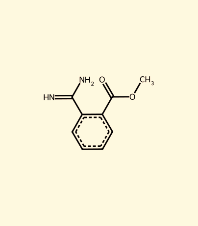 COC(=O)c1ccccc1C(=N)N